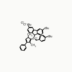 CC1=[C](/[Zr+2](=[CH]/c2ccc(C(C)(C)C)cc2)[CH]2c3ccc(C(C)(C)C)cc3-c3cc(C(C)(C)C)ccc32)C(C)C=C1c1ccccc1.[Cl-].[Cl-]